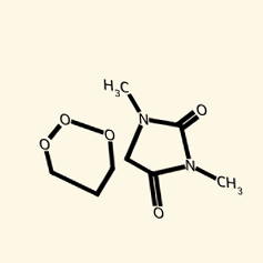 C1COOOC1.CN1CC(=O)N(C)C1=O